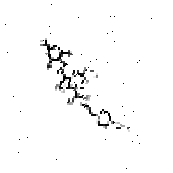 CN1CCN(CCCNC(=O)Nc2snc(OCc3c(F)cc(Cl)cc3F)c2OC(N)=O)CC1